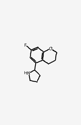 Fc1cc2c(c(C3CCCN3)c1)CCCO2